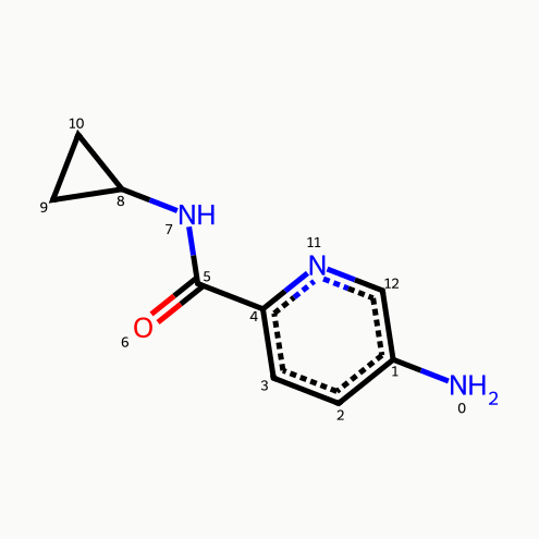 Nc1ccc(C(=O)NC2CC2)nc1